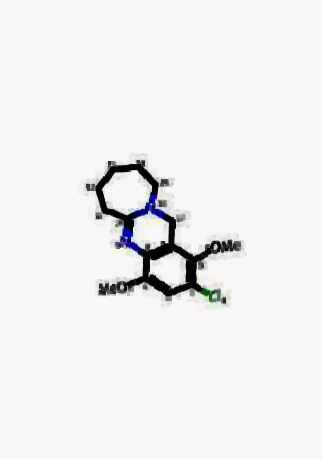 COc1cc(Cl)c(OC)c2c1N=C1CCCCCN1C2